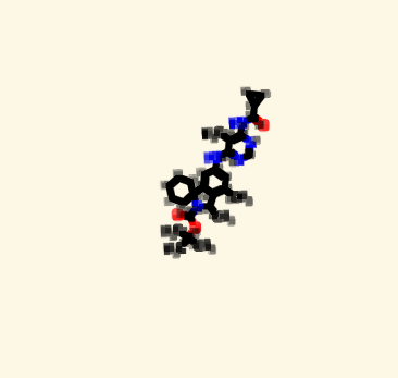 Cc1cc(Nc2ncnc(NC(=O)C3CC3)c2C)cc2c1C(C)N(C(=O)OC(C)(C)C)C21CCCCC1